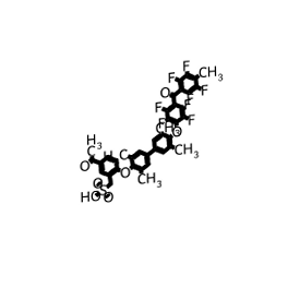 CC(=O)c1ccc(Oc2c(C)cc(-c3cc(C)c(Oc4c(F)c(F)c(C(=O)c5c(F)c(F)c(C)c(F)c5F)c(F)c4F)c(C)c3)cc2C)c(CS(=O)(=O)O)c1